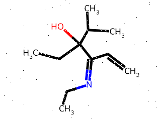 C=CC(=NCC)C(O)(CC)C(C)C